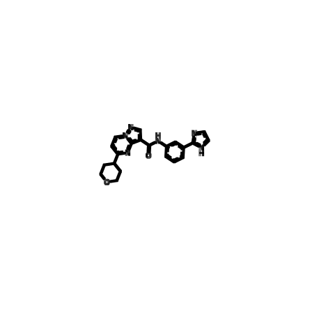 O=C(Nc1cccc(-c2ncc[nH]2)c1)c1cnn2ccc(C3CCOCC3)nc12